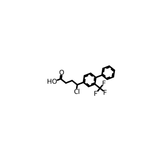 O=C(O)CCC(Cl)c1ccc(-c2ccccc2)c(C(F)(F)F)c1